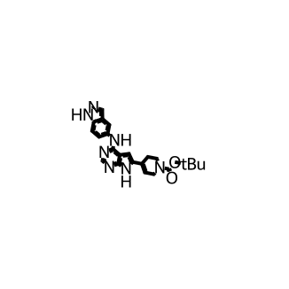 CC(C)(C)OC(=O)N1CC=C(c2cc3c(Nc4ccc5[nH]ncc5c4)ncnc3[nH]2)CC1